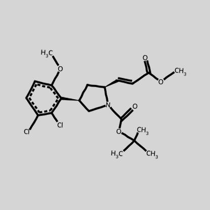 COC(=O)/C=C/[C@@H]1C[C@H](c2c(OC)ccc(Cl)c2Cl)CN1C(=O)OC(C)(C)C